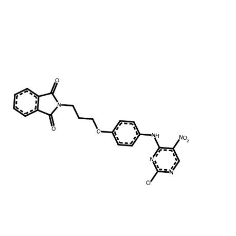 O=C1c2ccccc2C(=O)N1CCCOc1ccc(Nc2nc(Cl)ncc2[N+](=O)[O-])cc1